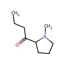 CCCC(=O)C1CCCN1C